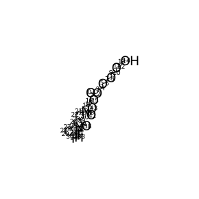 O=C(OCCOCCOCCOCCO)OC[C@@H]1CN(c2ccc3cc(-c4ccccc4C(F)(F)F)[nH]c(=O)c3c2)C(=O)O1